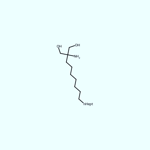 CCCCCCCCCCCCCCC(N)(CO)CO